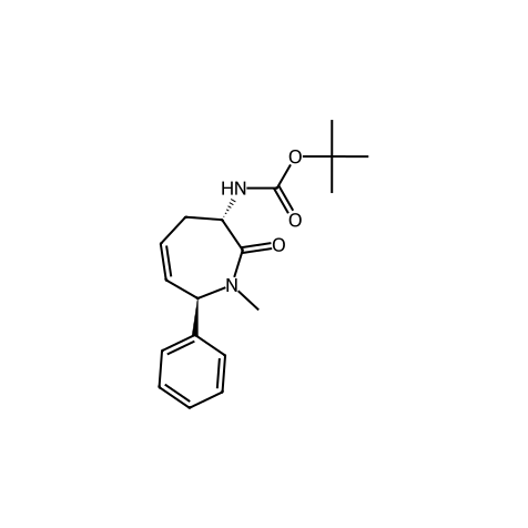 CN1C(=O)[C@@H](NC(=O)OC(C)(C)C)CC=C[C@@H]1c1ccccc1